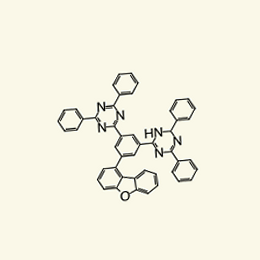 c1ccc(C2=NC(c3ccccc3)NC(c3cc(-c4nc(-c5ccccc5)nc(-c5ccccc5)n4)cc(-c4cccc5oc6ccccc6c45)c3)=N2)cc1